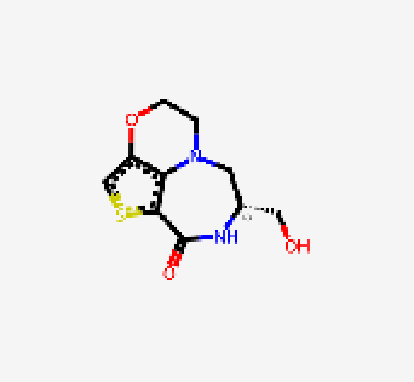 O=C1N[C@@H](CO)CN2CCOc3csc1c32